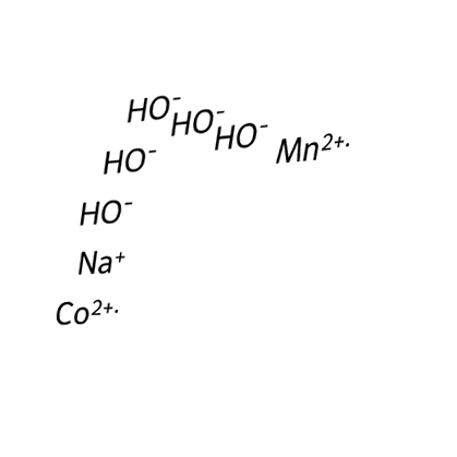 [Co+2].[Mn+2].[Na+].[OH-].[OH-].[OH-].[OH-].[OH-]